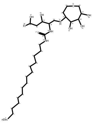 CCCCCCCCCCCCCCCCCCCCCCCCNC(=S)NC(CNC1CCCCC(O)C(O)C1O)C(O)CC(O)CC